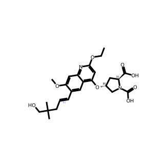 CCOc1cc(O[C@@H]2C[C@@H](C(=O)O)N(C(=O)O)C2)c2cc(/C=C/CC(C)(C)CO)c(OC)cc2n1